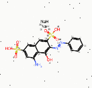 Nc1cc(S(=O)(=O)O)cc2cc(S(=O)(=O)O)c(/N=N/c3ccccc3)c(O)c12.[NaH].[NaH]